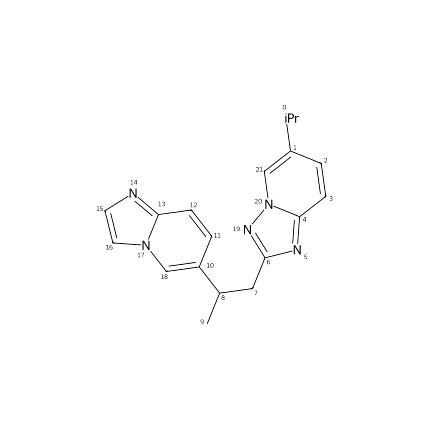 CC(C)c1ccc2nc(CC(C)c3ccc4nccn4c3)nn2c1